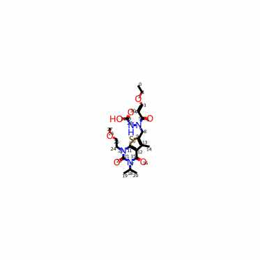 CCOC=CC(=O)N(Cc1sc2c(c1C)c(=O)n(C(C)C)c(=O)n2CCOC)NC(=O)O